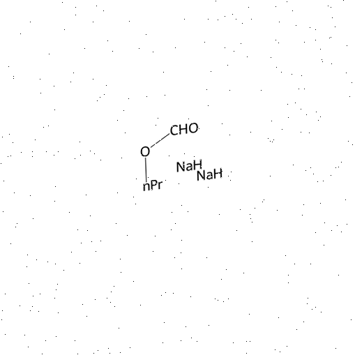 CCCOC=O.[NaH].[NaH]